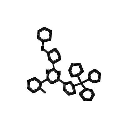 Cc1ccccc1-c1cc(-c2cccc(C(c3ccccc3)(c3ccccc3)c3ccccc3)c2)nc(-c2cccc(Sc3ccccc3)c2)n1